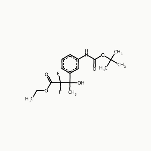 CCOC(=O)C(F)(F)C(C)(O)c1cccc(NC(=O)OC(C)(C)C)c1